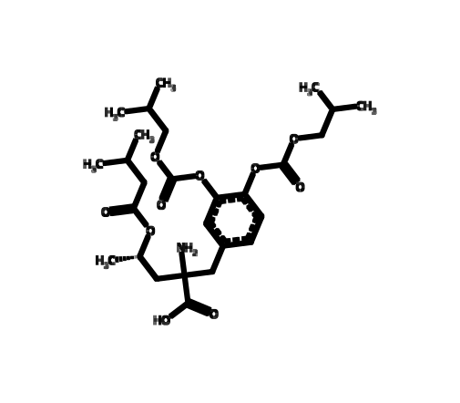 CC(C)COC(=O)Oc1ccc(CC(N)(C[C@H](C)OC(=O)CC(C)C)C(=O)O)cc1OC(=O)OCC(C)C